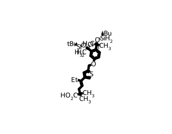 CCC(=CCC(C)(C)C(=O)O)c1csc(COc2ccc(C(C)(C)O[SiH2]C(C)(C)C)c(C(C)(C)O[SiH2]C(C)(C)C)c2)c1